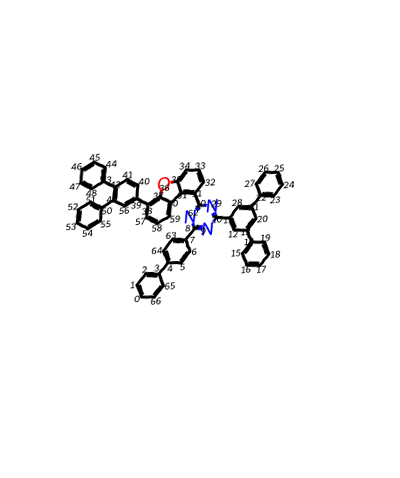 c1ccc(-c2ccc(-c3nc(-c4cc(-c5ccccc5)cc(-c5ccccc5)c4)nc(-c4cccc5oc6c(-c7ccc(-c8ccccc8)c(-c8ccccc8)c7)cccc6c45)n3)cc2)cc1